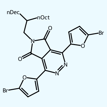 CCCCCCCCCCC(CCCCCCCC)CN1C(=O)c2c(-c3ccc(Br)o3)nnc(-c3ccc(Br)o3)c2C1=O